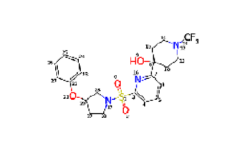 O=S(=O)(c1cccc(C2(O)CCN(C(F)(F)F)CC2)n1)N1CCC(Oc2ccccc2)C1